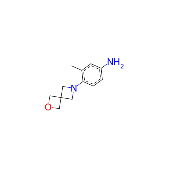 Cc1cc(N)ccc1N1CC2(COC2)C1